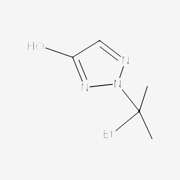 CCC(C)(C)n1ncc(O)n1